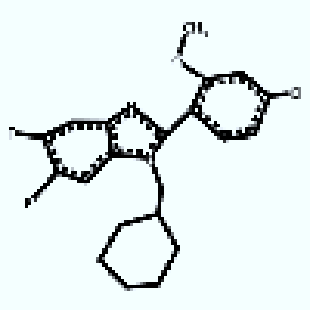 COc1cc(Cl)ccc1-c1nc2cc(F)c(F)cc2n1CC1CCCCC1